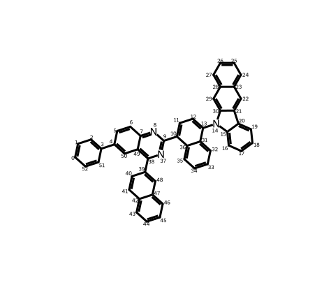 c1ccc(-c2ccc3nc(-c4ccc(-n5c6ccccc6c6cc7ccccc7cc65)c5ccccc45)nc(-c4ccc5ccccc5c4)c3c2)cc1